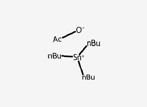 CC(=O)[O-].CCC[CH2][Sn+]([CH2]CCC)[CH2]CCC